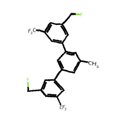 Cc1cc(-c2cc(CF)cc(C(F)(F)F)c2)cc(-c2cc(CF)cc(C(F)(F)F)c2)c1